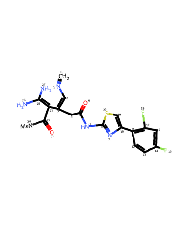 C=N/C=C(/CC(=O)Nc1nc(-c2ccc(F)cc2F)cs1)C(C(=O)NC)=C(N)N